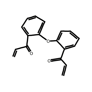 C=CC(=O)c1ccccc1Oc1ccccc1C(=O)C=C